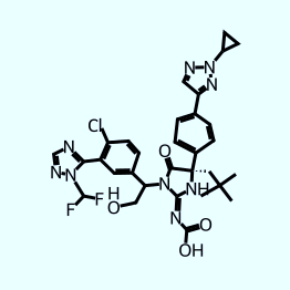 CC(C)(C)C[C@]1(c2ccc(-c3cnn(C4CC4)n3)cc2)NC(=NC(=O)O)N(C(CO)c2ccc(Cl)c(-c3ncnn3C(F)F)c2)C1=O